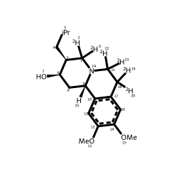 [2H]C1([2H])[C@H](CC(C)C)[C@H](O)C[C@H]2c3cc(OC)c(OC)cc3C([2H])([2H])C([2H])([2H])N21